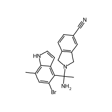 Cc1cc(Br)c(C(C)(N)N2Cc3ccc(C#N)cc3C2)c2cc[nH]c12